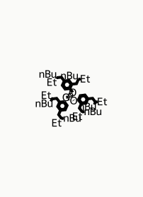 CCCCC(CC)Cc1ccc(OP(Oc2ccc(CC(CC)CCCC)cc2CC(CC)CCCC)Oc2ccc(CC(CC)CCCC)cc2CC(CC)CCCC)c(CC(CC)CCCC)c1